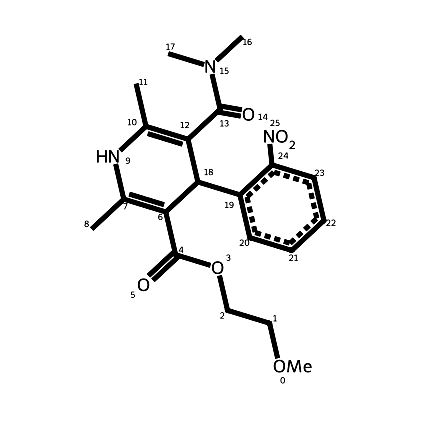 COCCOC(=O)C1=C(C)NC(C)=C(C(=O)N(C)C)C1c1ccccc1[N+](=O)[O-]